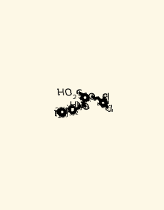 O=C(O)c1cc(OCCc2ccc(Cl)cc2Cl)cc(C(=O)NCC2CCN(c3ccncc3)CC2)c1